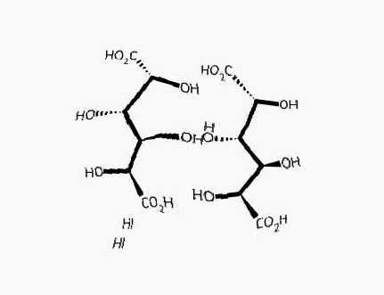 I.I.O=C(O)[C@@H](O)[C@H](O)[C@H](O)[C@@H](O)C(=O)O.O=C(O)[C@@H](O)[C@H](O)[C@H](O)[C@@H](O)C(=O)O